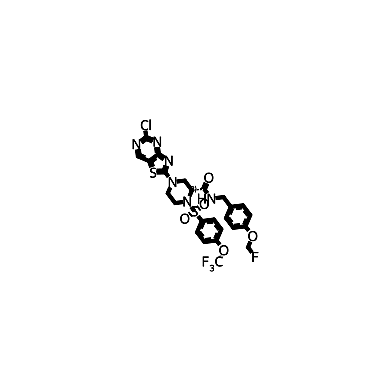 O=C(NCc1ccc(OCF)cc1)[C@H]1CN(c2nc3nc(Cl)ncc3s2)CCN1S(=O)(=O)c1ccc(OC(F)(F)F)cc1